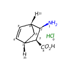 Cl.N[C@H]1[C@@H](C(=O)O)[C@@H]2C=C[C@H]1C2